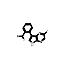 Fc1cnc2[nH]cc(-c3ccccc3C(F)F)c2n1